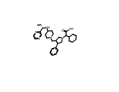 CC[C@H](NC1CCN(CC2CN(C(C(=O)O)C3CCCCC3)CC2c2ccccc2)CC1)c1cnccn1